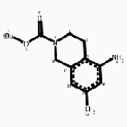 CC(C)(C)OC(=O)N1CCc2c(N)cc(C(F)(F)F)cc2C1